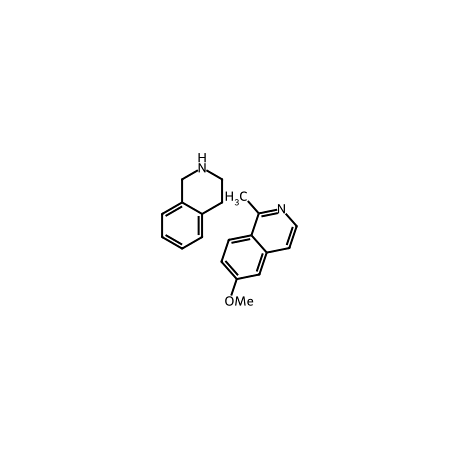 COc1ccc2c(C)nccc2c1.c1ccc2c(c1)CCNC2